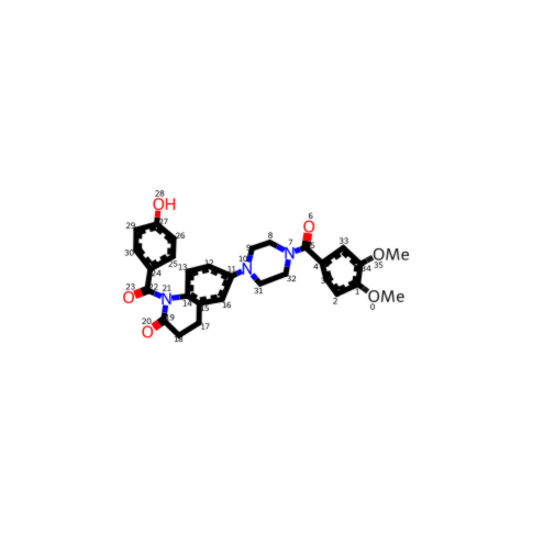 COc1ccc(C(=O)N2CCN(c3ccc4c(c3)CCC(=O)N4C(=O)c3ccc(O)cc3)CC2)cc1OC